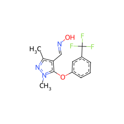 Cc1nn(C)c(Oc2cccc(C(F)(F)F)c2)c1C=NO